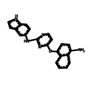 Nc1ccc(Oc2ccnc(Nc3ccc4[nH]ccc4c3)n2)c2ccccc12